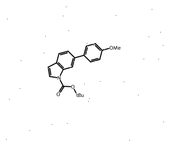 COc1ccc(-c2ccc3ccn(C(=O)OC(C)(C)C)c3c2)cc1